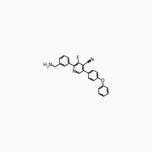 N#Cc1c(-c2ccc(Oc3ccccc3)cc2)cnc(-c2cccc(CN)c2)c1F